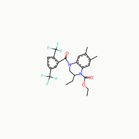 CCOC(=O)N1c2cc(C)c(C)cc2N(C(=O)c2cc(C(F)(F)F)ccc2C(F)(F)F)CC1CC